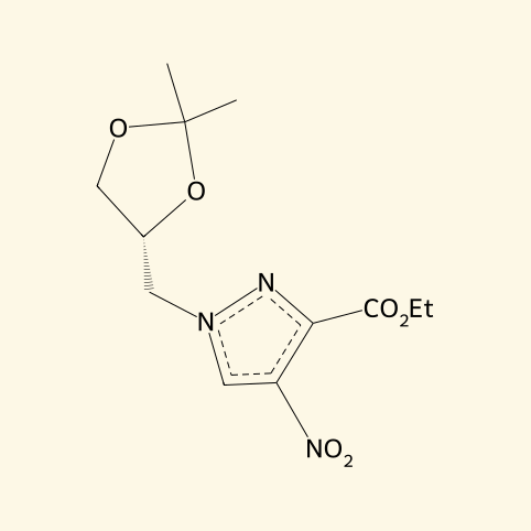 CCOC(=O)c1nn(C[C@@H]2COC(C)(C)O2)cc1[N+](=O)[O-]